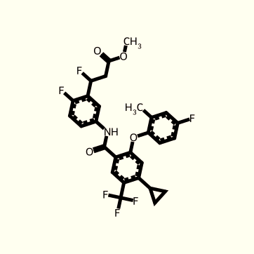 COC(=O)CC(F)c1cc(NC(=O)c2cc(C(F)(F)F)c(C3CC3)cc2Oc2ccc(F)cc2C)ccc1F